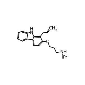 C=CCc1c(OCCCNC(C)C)ccc2c1[nH]c1ccccc12